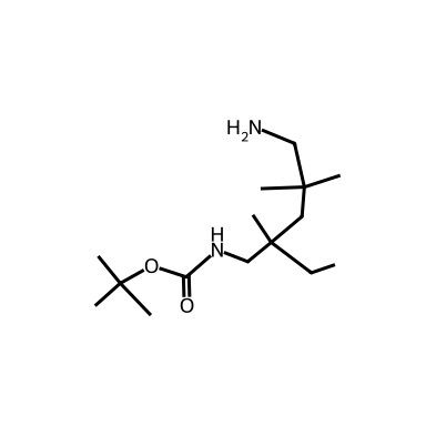 CCC(C)(CNC(=O)OC(C)(C)C)CC(C)(C)CN